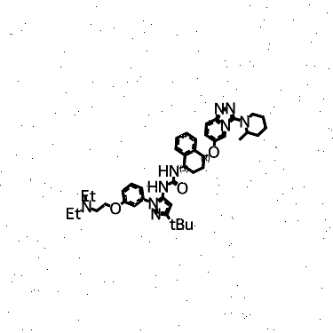 CCN(CC)CCOc1cccc(-n2nc(C(C)(C)C)cc2NC(=O)N[C@H]2CC[C@@H](Oc3ccc4nnc(N5CCCCC5C)n4c3)c3ccccc32)c1